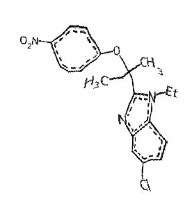 CCn1c(C(C)(C)Oc2ccc([N+](=O)[O-])cc2)nc2cc(Cl)ccc21